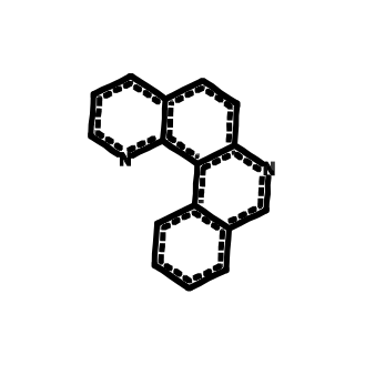 c1ccc2c(c1)cnc1ccc3cccnc3c12